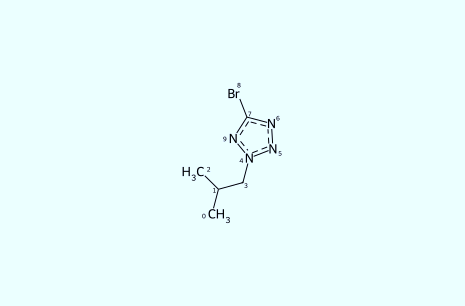 CC(C)Cn1nnc(Br)n1